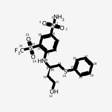 NS(=O)(=O)c1ccc(N[C@H](CCO)CSc2ccccc2)c(S(=O)(=O)C(F)(F)F)c1